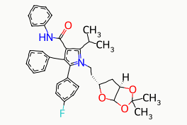 CC(C)c1c(C(=O)Nc2ccccc2)c(-c2ccccc2)c(-c2ccc(F)cc2)n1CC[C@@H]1C[C@H]2OC(C)(C)OC2O1